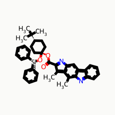 CC1=c2c(cc3c(c2C)N=c2ccccc2=3)N=C1C(=O)O[C@]1(O[SiH](c2ccccc2)c2ccccc2)CC[C@@H](C(C)(C)C)CC1